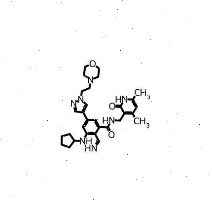 Cc1cc(C)c(CNC(=O)c2cc(-c3cnn(CCN4CCOCC4)c3)cc(NC3CCCC3)c2C=N)c(=O)[nH]1